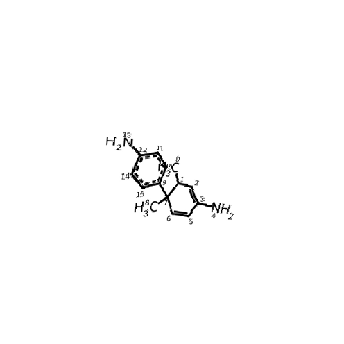 CC1C=C(N)C=CC1(C)c1ccc(N)cc1